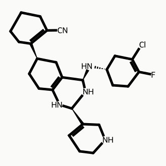 N#CC1=C([C@@H]2CCC3=C(C2)[C@@H](N[C@H]2CCC(F)=C(Cl)C2)N[C@@H](C2=CCCNC2)N3)CCCC1